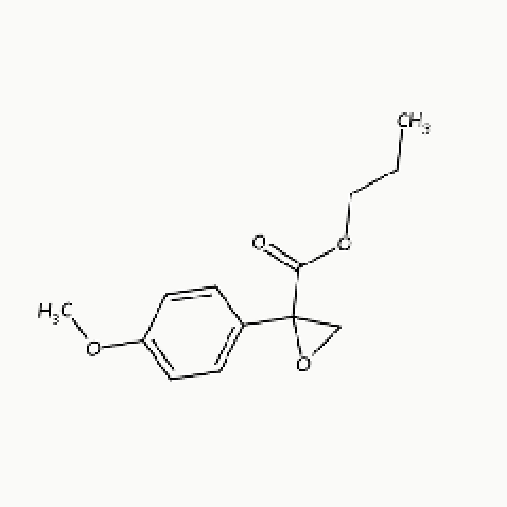 CCCOC(=O)C1(c2ccc(OC)cc2)CO1